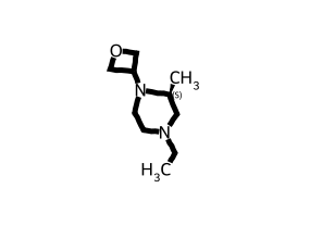 CCN1CCN(C2COC2)[C@@H](C)C1